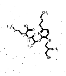 CCCCc1ccc(NCC(N)CS)c(OC(C)C(=O)N[C@@H](CCSC)C(=O)O)n1